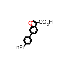 CCCc1ccc(-c2ccc3c(C(=O)O)coc3c2)cc1